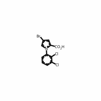 O=C(O)c1cc(Br)cn1-c1cccc(Cl)c1Cl